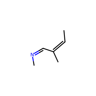 C/C=C(C)\C=N/C